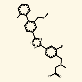 COCc1cc(-c2nc(-c3ccc(CN(C)CC(=O)O)c(F)c3)no2)ccc1-c1ccccc1F